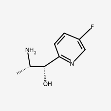 C[C@H](N)[C@@H](O)c1ccc(F)cn1